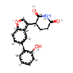 O=C1CCC(c2coc3ccc(-c4ccccc4O)cc23)C(=O)N1